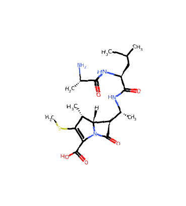 CSC1=C(C(=O)O)N2C(=O)[C@H]([C@@H](C)NC(=O)[C@H](CC(C)C)NC(=O)[C@H](C)N)[C@H]2[C@H]1C